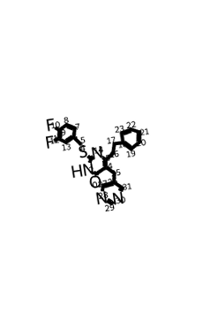 O=c1[nH]c(SCc2ccc(F)c(F)c2)nc(CCc2ccccc2)c1Cc1cncnc1